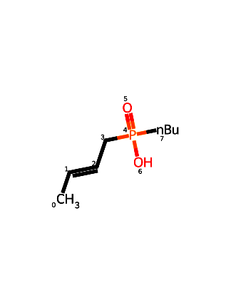 CC=CCP(=O)(O)CCCC